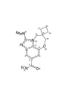 CNc1nc2cc(C(N)=O)cc3c2n1CC1(CCC1)CO3